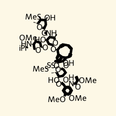 C=C(OC)C(=O)Nc1cc(OC)c(OC)cc1C(=O)O[C@H]1CC(O[C@@H]2C(=O)C=C3/C(=C\CSSSC)[C@]2(O)C#C/C=C\C#C[C@@H]3O[C@@H]2O[C@H](C)[C@@H](NO[C@H]3C[C@H](O)[C@H](SC)[C@@H](C)O3)[C@H](O)[C@H]2O[C@H]2C[C@H](OC)[C@@H](NC(C)C)CO2)O[C@@H](C)[C@@H]1O